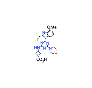 COc1cccc2c1nc(C(F)F)n2-c1nc(NC2CN(C(=O)O)C2)nc(N2CCOCC2)n1